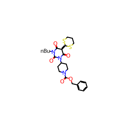 CCCCN1C(=O)C(=C2SCCCS2)C(=O)N(C2CCN(C(=O)OCc3ccccc3)CC2)C1=O